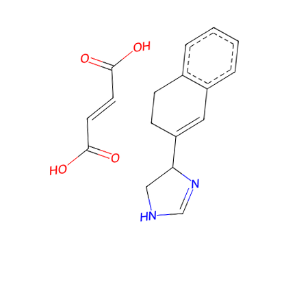 C1=NC(C2=Cc3ccccc3CC2)CN1.O=C(O)/C=C/C(=O)O